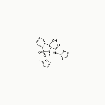 CN1C(C(=O)Nc2nccs2)=C(O)c2ccccc2S1(=O)=O.Cc1cccs1